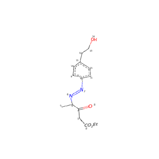 CCOC(=O)CC(=O)C(C)N=Nc1ccc(CCO)cc1